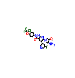 CO[C@H]1CN(c2ncc(C(=O)Nc3ccc(OC(F)(F)Cl)cc3)cc2-c2cncc(F)c2)C[C@@H]1N